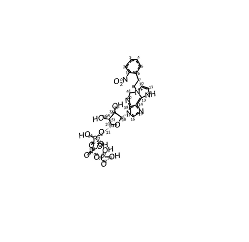 O=[N+]([O-])c1ccccc1CC[N+]12C=CNC1=c1ncn([C@@H]3O[C@H](COP(=O)(O)OP(=O)(O)OP(=O)(O)O)[C@@H](O)[C@H]3O)c1=NC2